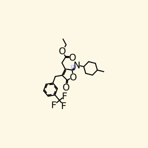 CCOC(=O)CC1=C(Cc2cccc(C(F)(F)F)c2)C(=O)O/C1=N\C1CCC(C)CC1